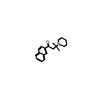 CC(C)(CC(=O)c1ccc2ccccc2c1)N1CCCCC1